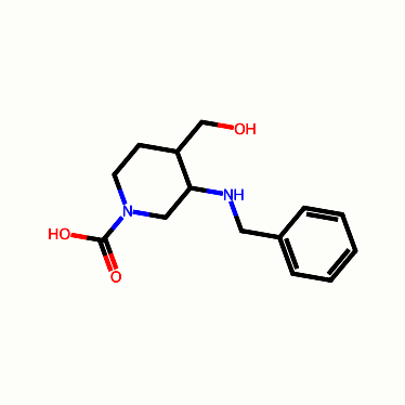 O=C(O)N1CCC(CO)C(NCc2ccccc2)C1